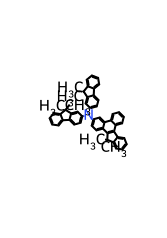 CC1(C)c2ccccc2-c2ccc(N(c3ccc4c(c3)C(C)(C)c3ccccc3-4)c3ccc4c5c(c6ccccc6c4c3)-c3ccccc3C5(C)C)cc21